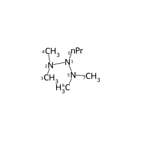 CCCN(N(C)C)N(C)C